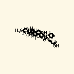 C[C@H]1CC[C@@]2(OC1)O[C@H]1C[C@H]3[C@@H]4CC[C@@H]5C[C@H](NC(=O)N(CCCC(=O)O)C6CCCCC6)CC[C@]5(C)C4CC[C@]3(C)[C@H]1[C@@H]2C